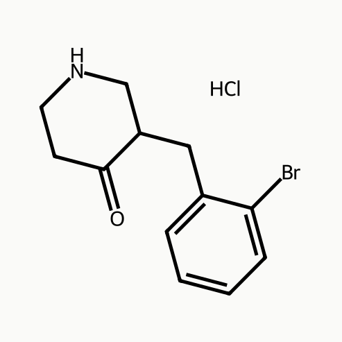 Cl.O=C1CCNCC1Cc1ccccc1Br